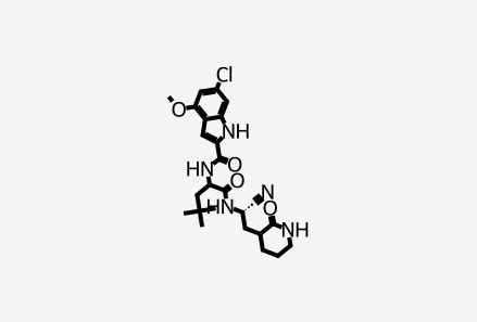 COc1cc(Cl)cc2[nH]c(C(=O)NC(CC(C)(C)C)C(=O)N[C@H](C#N)CC3CCCNC3=O)cc12